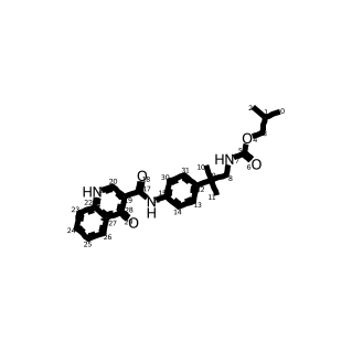 CC(C)COC(=O)NCC(C)(C)c1ccc(NC(=O)c2c[nH]c3ccccc3c2=O)cc1